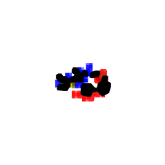 Cc1nc(NCCS(=O)(=O)Cc2ccccc2)nc(NC2C[C@H](CO)[C@@H](O)[C@H]2O)c1-c1nc2c(C)nccc2s1